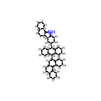 c1ccc2c(c1)ccc1c3cc(-c4c5ccccc5c(-c5cc6ccc7ccccc7c6c6ccccc56)c5ccccc45)ccc3[nH]c21